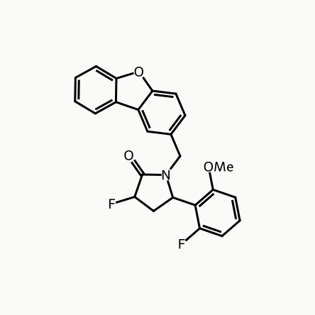 COc1cccc(F)c1C1CC(F)C(=O)N1Cc1ccc2oc3ccccc3c2c1